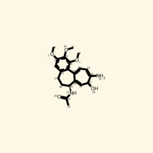 COc1cc2c(c(OC)c1OC)C1=CC=C(N)C(O)C=C1[C@@H](NC(C)=O)CC2